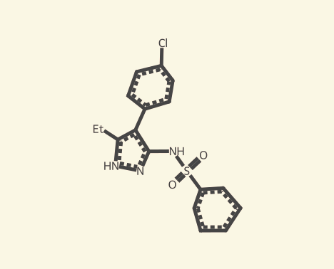 CCc1[nH]nc(NS(=O)(=O)c2ccccc2)c1-c1ccc(Cl)cc1